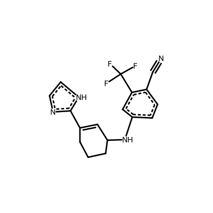 N#Cc1ccc(NC2C=C(c3ncc[nH]3)CCC2)cc1C(F)(F)F